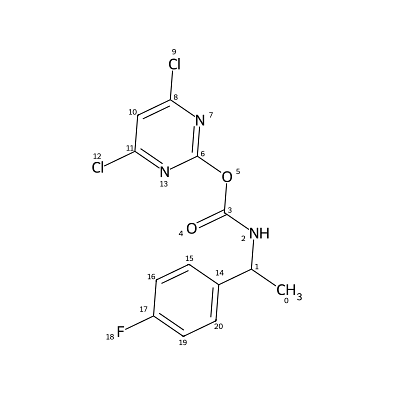 CC(NC(=O)Oc1nc(Cl)cc(Cl)n1)c1ccc(F)cc1